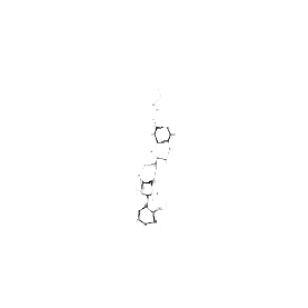 COCCOCc1ccc2c(c1)CC(N1CCc3nc(-c4ccccc4Cl)[nH]c3C1)CC2